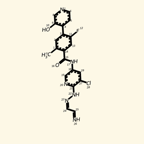 Cc1cc(-c2ccncc2O)c(F)cc1C(=O)Nc1cnc(N/N=C\C=N)c(Cl)c1